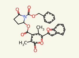 Cc1c(-c2cc3ccccc3o2)oc(=O)c(C)c1C(=O)OC1CCC(=O)N1C(=O)OCc1ccccc1